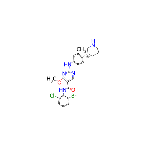 COc1nc(Nc2ccc([C@H]3CCCNC3)c(C)c2)ncc1C(=O)Nc1c(Cl)cccc1Br